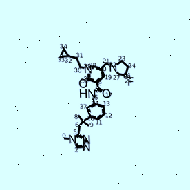 Cn1cnnc1CC(C)(C)c1cccc(NC(=O)c2cc(CN3CC[C@H](F)C3)cn(CCC3CC3)c2=O)c1